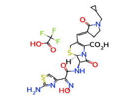 Nc1nc(C(=NO)C(=O)N[C@@H]2C(=O)N3C(C(=O)O)=C(C=C4CCN(CC5CC5)C4=O)CS[C@H]23)cs1.O=C(O)C(F)(F)F